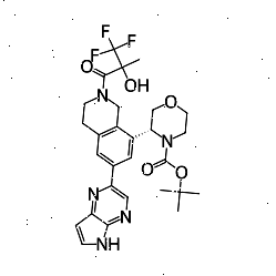 CC(C)(C)OC(=O)N1CCOC[C@H]1c1cc(-c2cnc3[nH]ccc3n2)cc2c1CN(C(=O)C(C)(O)C(F)(F)F)CC2